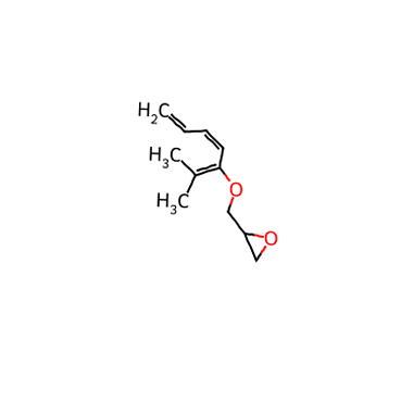 C=C/C=C\C(OCC1CO1)=C(C)C